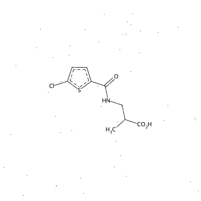 CC(CNC(=O)c1ccc(Cl)s1)C(=O)O